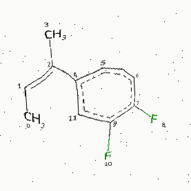 C/C=C(/C)c1ccc(F)c(F)c1